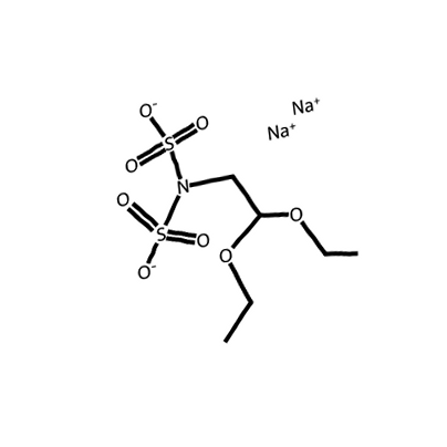 CCOC(CN(S(=O)(=O)[O-])S(=O)(=O)[O-])OCC.[Na+].[Na+]